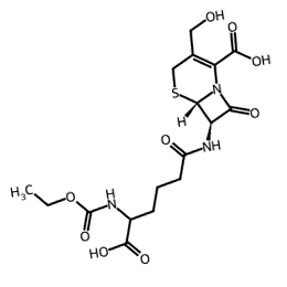 CCOC(=O)NC(CCCC(=O)N[C@@H]1C(=O)N2C(C(=O)O)=C(CO)CS[C@@H]12)C(=O)O